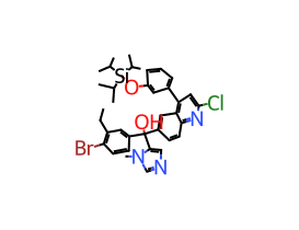 CCc1cc(C(O)(c2ccc3nc(Cl)cc(-c4cccc(O[Si](C(C)C)(C(C)C)C(C)C)c4)c3c2)c2cncn2C)ccc1Br